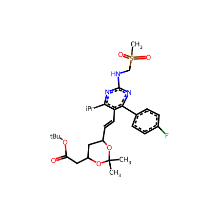 CC(C)c1nc(NCS(C)(=O)=O)nc(-c2ccc(F)cc2)c1C=CC1CC(CC(=O)OC(C)(C)C)OC(C)(C)O1